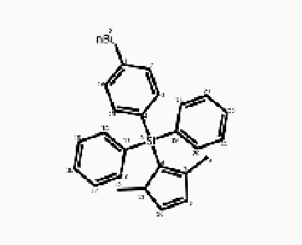 CCCCc1ccc([Si](C2=C(C)C=CC2C)(c2ccccc2)c2ccccc2)cc1